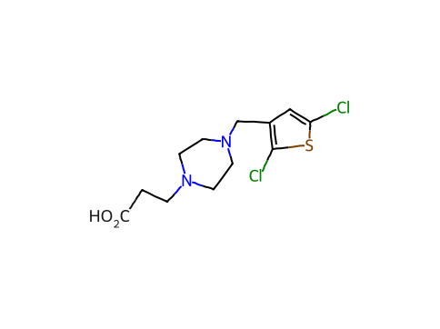 O=C(O)CCN1CCN(Cc2cc(Cl)sc2Cl)CC1